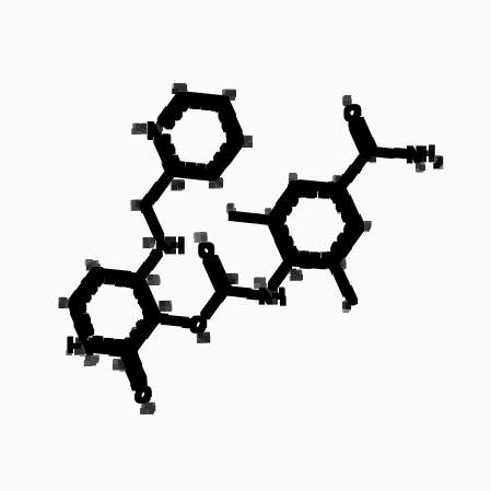 Cc1cc(C(N)=O)cc(C)c1NC(=O)Oc1c(NCc2ccccn2)cc[nH]c1=O